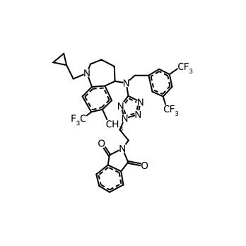 Cc1cc2c(cc1C(F)(F)F)N(CC1CC1)CCCC2N(Cc1cc(C(F)(F)F)cc(C(F)(F)F)c1)c1nnn(CCN2C(=O)c3ccccc3C2=O)n1